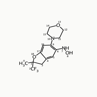 CC1(C(F)(F)F)Cc2cc(NO)c(N3CCOCC3)cc2O1